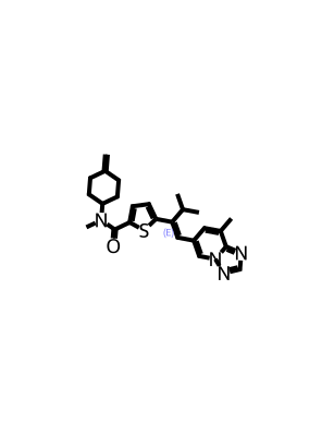 C=C1CCC(N(C)C(=O)c2ccc(/C(=C/c3cc(C)c4ncnn4c3)C(C)C)s2)CC1